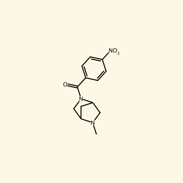 CN1CC2CC1CN2C(=O)c1ccc([N+](=O)[O-])cc1